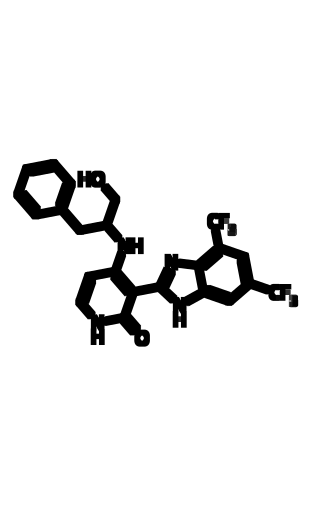 O=c1[nH]ccc(NC(CO)Cc2ccccc2)c1-c1nc2c(C(F)(F)F)cc(C(F)(F)F)cc2[nH]1